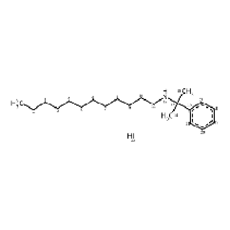 CCCCCCCCCCCCNC(C)(C)c1ccccc1.I